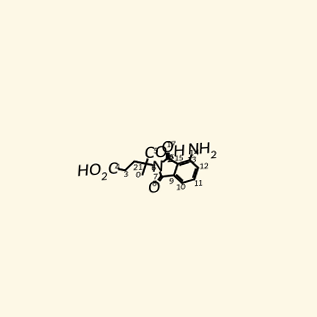 CC(CCC(=O)O)(C(=O)O)N1C(=O)c2cccc(N)c2C1=O